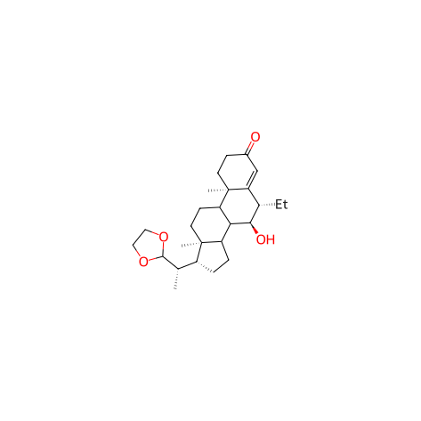 CC[C@H]1C2=CC(=O)CC[C@]2(C)C2CC[C@@]3(C)C(CC[C@@H]3[C@H](C)C3OCCO3)C2[C@@H]1O